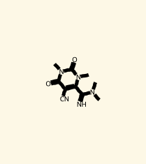 CN(C)C(=N)c1c(C#N)c(=O)n(C)c(=O)n1C